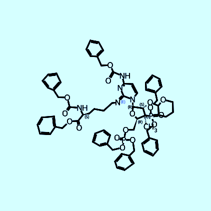 C[C@]1(P(=O)(OCc2ccccc2)OCc2ccccc2)[C@@H](COP(=O)(OCc2ccccc2)OCc2ccccc2)O[C@@H](n2ccc(NC(=O)OCc3ccccc3)n/c2=N\CCCC[C@H](NC(=O)OCc2ccccc2)C(=O)OCc2ccccc2)[C@@H]1OC1CCCCO1